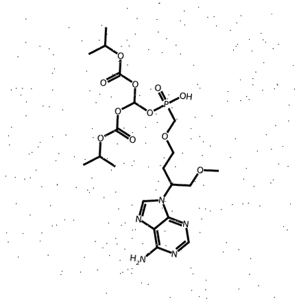 COCC(CCOCP(=O)(O)OC(OC(=O)OC(C)C)OC(=O)OC(C)C)n1cnc2c(N)ncnc21